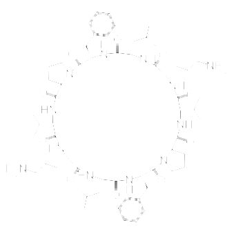 CC(C)C[C@@H]1NC(=O)[C@H](CCCN)NC(=O)[C@H](C(C)C)NC(=O)C2CCCN2C(=O)[C@@H](Cc2ccccc2)NC(=O)[C@H](CC(C)C)NC(=O)[C@H](CCCN)NC(=O)[C@H](C(C)C)NC(=O)C2CCCN2C(=O)[C@@H](Cc2ccccc2)NC1=O